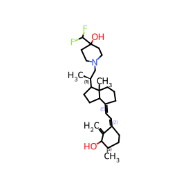 C=C1/C(=C\C=C2/CCCC3(C)C2CCC3[C@@H](C)CN2CCC(O)(C(F)F)CC2)CC[C@H](C)C1O